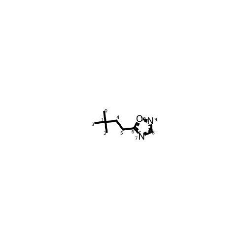 CC(C)(C)CCc1ncno1